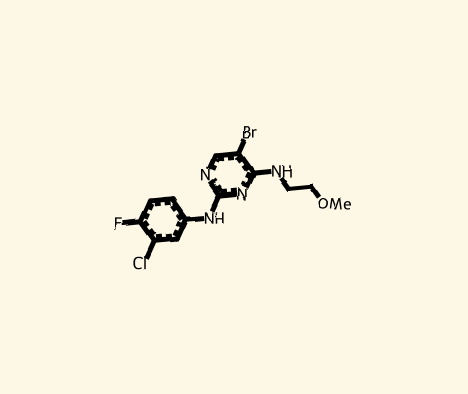 COCCNc1nc(Nc2ccc(F)c(Cl)c2)ncc1Br